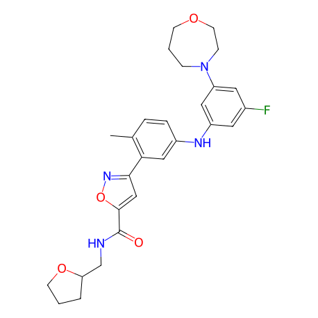 Cc1ccc(Nc2cc(F)cc(N3CCCOCC3)c2)cc1-c1cc(C(=O)NCC2CCCO2)on1